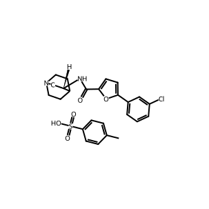 Cc1ccc(S(=O)(=O)O)cc1.O=C(N[C@H]1CN2CCC1CC2)c1ccc(-c2cccc(Cl)c2)o1